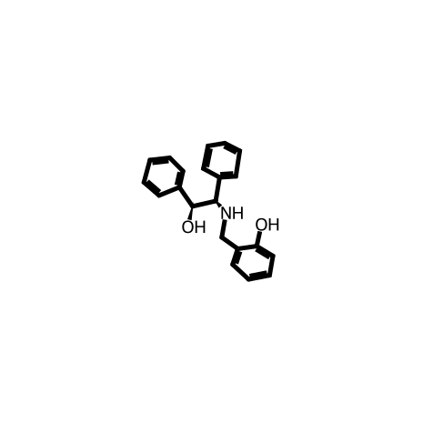 Oc1ccccc1CN[C@H](c1ccccc1)[C@@H](O)c1ccccc1